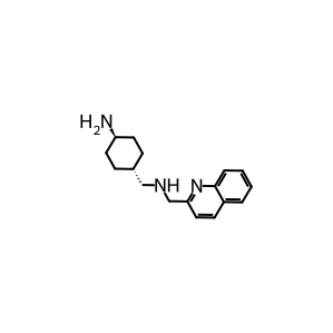 N[C@H]1CC[C@H](CNCc2ccc3ccccc3n2)CC1